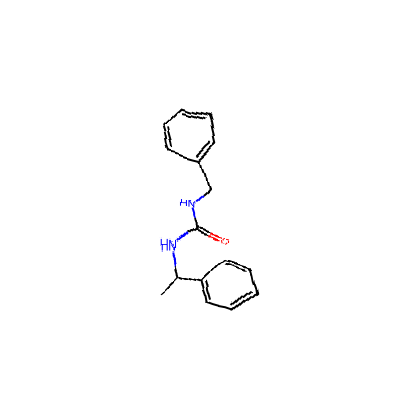 CC(NC(=O)NCc1ccccc1)c1ccccc1